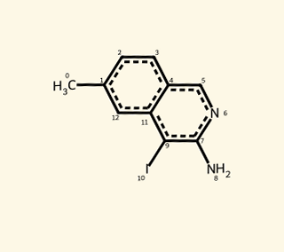 Cc1ccc2cnc(N)c(I)c2c1